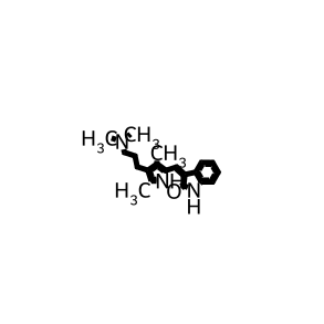 Cc1[nH]c(C=C2C(=O)Nc3ccccc32)c(C)c1CCCN(C)C